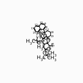 CC(C)C[C@H](NC1(c2cccc3ccccc23)CCCCO1)C(=O)NC(CC(=O)OC(C)(C)C)C(=O)CF